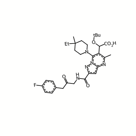 CCC1(C)CCN(c2c(C(OC(C)(C)C)C(=O)O)c(C)nc3cc(C(=O)NCC(=O)Cc4ccc(F)cc4)nn23)CC1